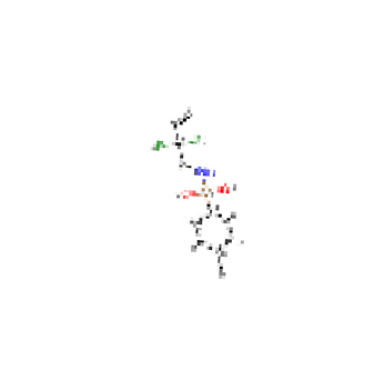 C=CC(F)(F)CNS(=O)(=O)c1ccc(C)cc1